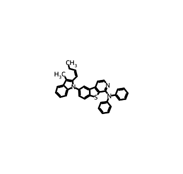 CC/C=C\c1c(C)c2ccccc2n1-c1ccc2sc3c(N(c4ccccc4)c4ccccc4)nccc3c2c1